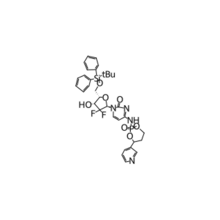 CC(C)(C)[Si](OC[C@@H]1O[C@@H](n2ccc(NP3(=O)OCCC(c4cccnc4)O3)nc2=O)C(F)(F)[C@@H]1O)(c1ccccc1)c1ccccc1